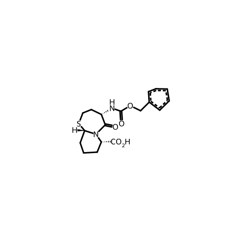 O=C(N[C@H]1CCS[C@H]2CCC[C@@H](C(=O)O)N2C1=O)OCc1ccccc1